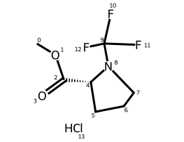 COC(=O)[C@H]1CCCN1C(F)(F)F.Cl